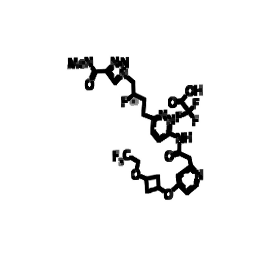 CNC(=O)c1cn(C[C@H](F)CCc2ccc(NC(=O)Cc3cc(OC4CC(OCC(F)(F)F)C4)ccn3)nn2)nn1.O=C(O)C(F)(F)F